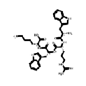 N=C(N)NCCC[C@@H](NC(=O)[C@@H](N)Cc1c[nH]c2ccccc12)C(=O)N[C@H](Cc1c[nH]c2ccccc12)C(=O)N[C@H](CCCCN)C(=O)O